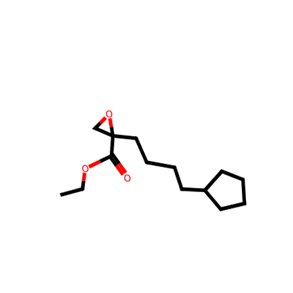 CCOC(=O)C1(CCCCC2CCCC2)CO1